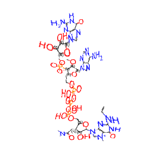 CCNc1nc2c(c(=O)[nH]1)[n+](C)cn2C1O[C@H](COP(=O)(O)OP(=O)(O)OP(=O)(O)OCC[C@H]2O[C@@H](n3cnc4c(N)ncnc43)[C@H](OC)[C@@H]2P(=O)([O-])OC[C@H]2O[C@@H](n3cnc4c(=O)[nH]c(N)nc43)[C@H](O)[C@@H]2O)[C@@H](CC(=O)N(C)C)[C@H]1O